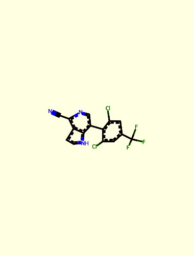 N#Cc1ncc(-c2c(Cl)cc(C(F)(F)F)cc2Cl)c2[nH]ccc12